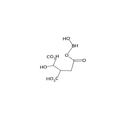 O=C(CC(C(=O)O)C(O)C(=O)O)OBO